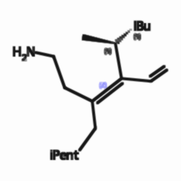 C=C/C(=C(/CCN)CC(C)CCC)[C@@H](C)[C@@H](C)CC